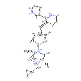 C(=C1/CCCN=C1c1cccnc1)/c1ccc(N2C[C@@H]3C[C@H]2CN3CC2CC2)cc1